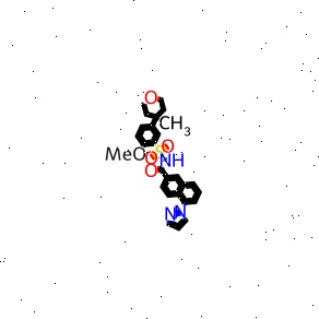 COc1ccc(C2(C)CCOCC2)cc1S(=O)(=O)NC(=O)c1ccc2c(-n3cccn3)cccc2c1